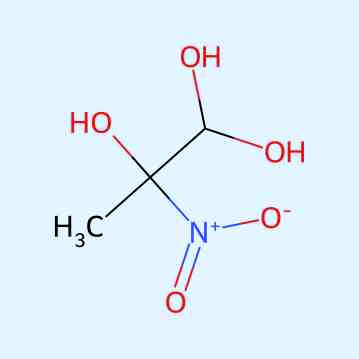 CC(O)(C(O)O)[N+](=O)[O-]